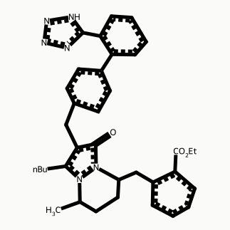 CCCCc1c(Cc2ccc(-c3ccccc3-c3nnn[nH]3)cc2)c(=O)n2n1C(C)CCC2Cc1ccccc1C(=O)OCC